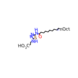 CCCCCCCC/C=C/CCCCCCCC(=O)Nc1nnc(NCCC(=O)O)s1